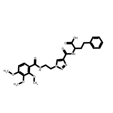 COc1ccc(C(=O)NCCn2cc(C(=O)NC(CCc3ccccc3)C(=O)O)nn2)c(OC)c1OC